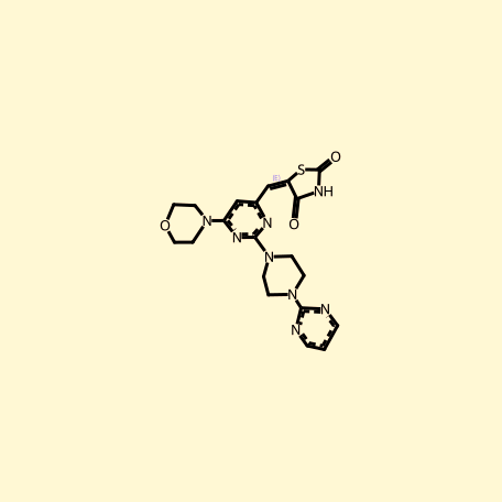 O=C1NC(=O)/C(=C\c2cc(N3CCOCC3)nc(N3CCN(c4ncccn4)CC3)n2)S1